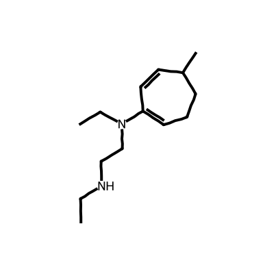 CCNCCN(CC)C1=CCCC(C)C=C1